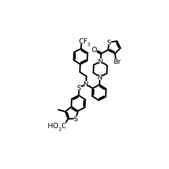 Cc1c(C(=O)O)sc2ccc(SN(CCc3ccc(C(F)(F)F)cc3)c3ccccc3N3CCN(C(=O)c4sccc4Br)CC3)cc12